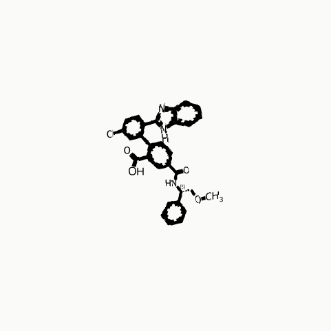 COC[C@@H](NC(=O)c1ccc(-c2cc(Cl)ccc2-c2nc3ccccc3[nH]2)c(C(=O)O)c1)c1ccccc1